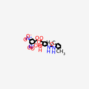 Cc1cccc(C)c1NC(=O)Nc1ccc(C(=O)OC(=O)c2cc([N+](=O)[O-])cc([N+](=O)[O-])c2O)c(O)c1